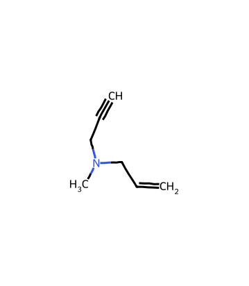 C#CCN(C)CC=C